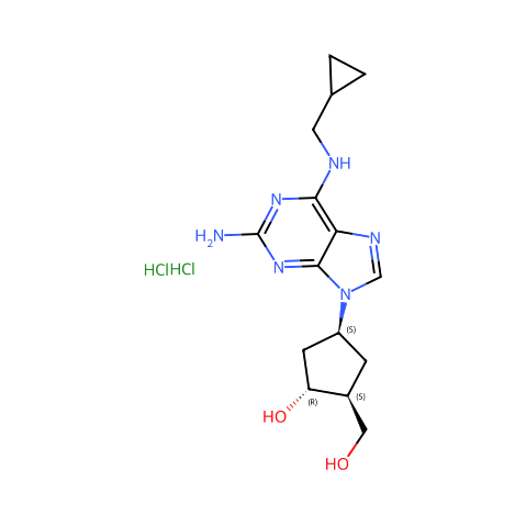 Cl.Cl.Nc1nc(NCC2CC2)c2ncn([C@H]3C[C@@H](CO)[C@H](O)C3)c2n1